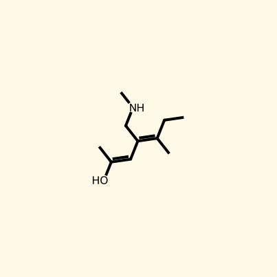 CC/C(C)=C(/C=C(\C)O)CNC